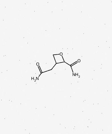 NC(=O)CC1COC1C(N)=O